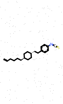 C=CCCCC[C@H]1CC[C@H](CCc2ccc(N=C=S)cc2)CC1